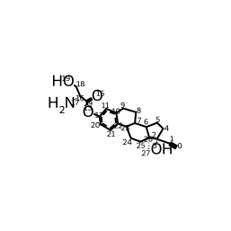 C#C[C@]1(O)CCC2C3CCc4cc(OC(=O)[C@H](N)CO)ccc4C3CC[C@@]21C